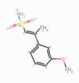 COc1cccc(C(C)=CS(N)(=O)=O)c1